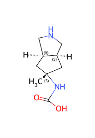 C[C@@]1(NC(=O)O)C[C@H]2CNC[C@H]2C1